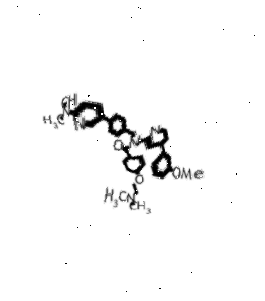 COc1cccc(-c2ccnc(N(Cc3ccc(-c4ccc(N(C)C)nc4)cc3)C(=O)C3CCC(OCCN(C)C)CC3)c2)c1